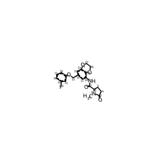 CN1C(=O)CCC1C(=O)Nc1cc(COc2cccc(F)c2)cc2c1OCCO2